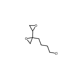 ClCCCCC1(C2CO2)CO1